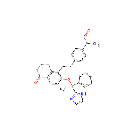 CN(C=O)c1ccc(CCc2c(O[C@@](C)(c3ccccc3)c3ncc[nH]3)ccc3c2CCCC3=O)cc1